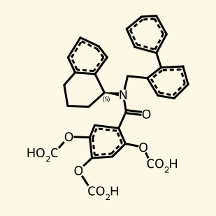 O=C(O)Oc1cc(OC(=O)O)c(C(=O)N(Cc2ccccc2-c2ccccc2)[C@H]2CCCc3ccccc32)cc1OC(=O)O